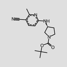 Cc1nc(N[C@H]2CCN(C(=O)OC(C)(C)C)C2)ccc1C#N